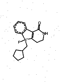 O=C1NCCC2=C1c1ccccc1[N+]2(F)CC1CCCC1